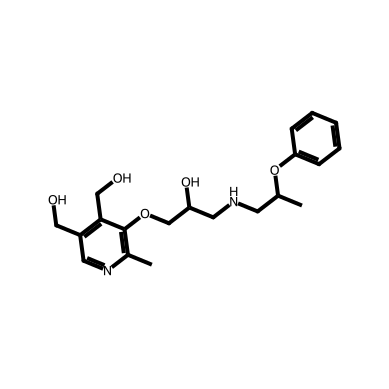 Cc1ncc(CO)c(CO)c1OCC(O)CNCC(C)Oc1ccccc1